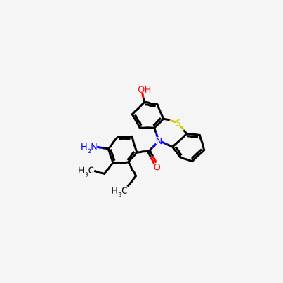 CCc1c(N)ccc(C(=O)N2c3ccccc3Sc3cc(O)ccc32)c1CC